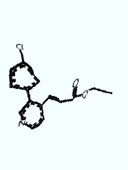 CCOC(=O)C=Cc1ccncc1-c1ccc(Cl)cc1